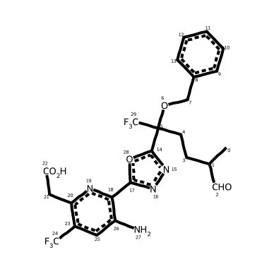 CC(C=O)CCC(OCc1ccccc1)(c1nnc(-c2nc(CC(=O)O)c(C(F)(F)F)cc2N)o1)C(F)(F)F